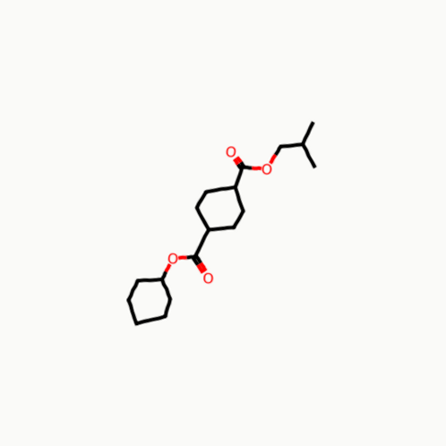 CC(C)COC(=O)C1CCC(C(=O)OC2CCCCC2)CC1